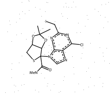 CNC(=O)C1(n2cnc3c(Cl)nc(CI)nc32)SCC2OC(C)(C)OC21